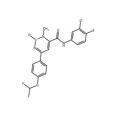 CN1C(C(=O)Nc2ccc(F)c(Cl)c2)=CC(c2ccc(OC(F)F)cc2)=N[S+]1[O-]